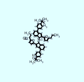 CCCc1ccc(C2=Cc3c(-c4ccc(C(C)(C)C)cc4)cccc3[CH]2[Zr+2][CH]2C(c3ccc(CCC)o3)=Cc3c(-c4ccc(C(C)(C)C)cc4)cccc32)o1.[Cl-].[Cl-]